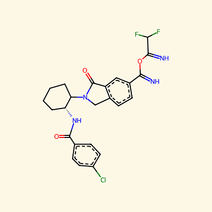 N=C(OC(=N)C(F)F)c1ccc2c(c1)C(=O)N(C1CCCC[C@H]1NC(=O)c1ccc(Cl)cc1)C2